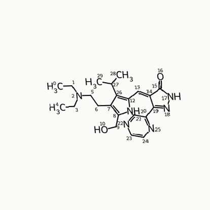 CCN(CC)CCc1c(CO)[nH]c(/C=C2/C(=O)NN=C2c2cnccn2)c1C(C)C